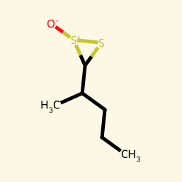 CCCC(C)C1S[S+]1[O-]